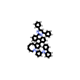 C=C1/C=C\C=C/CN(c2cccc(-n3c4ccccc4c4ccccc43)c2)c2ccc(-c3ccccc3-c3ccccc3-c3nc(-c4ccccc4)cc(-c4ccccc4)n3)cc21